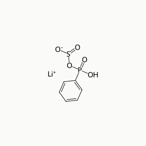 O=S([O-])OP(=O)(O)c1ccccc1.[Li+]